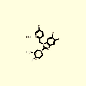 Cl.N[C@@H]1CN(c2nc3cc(F)c(F)cc3n2Cc2ccc(Cl)cn2)CC[C@H]1F